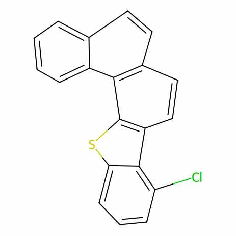 Clc1cccc2sc3c(ccc4ccc5ccccc5c43)c12